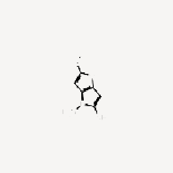 CNc1cc2c(cc(N)n2N)o1